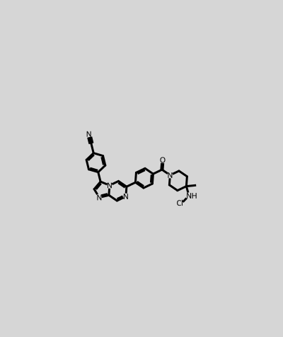 CC1(NCl)CCN(C(=O)c2ccc(-c3cn4c(-c5ccc(C#N)cc5)cnc4cn3)cc2)CC1